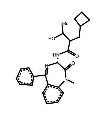 CCCCC(O)C(CC1CCC1)C(=O)N[C@H]1N=C(c2ccccc2)c2ccccc2N(C)C1=O